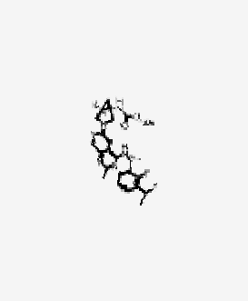 Cc1nc(N[C@H](C)c2cccc(C(F)F)c2F)c2cc(N3C[C@H]4C[C@@]4(NC(=O)OC(C)(C)C)C3)ncc2n1